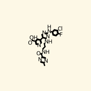 Cc1cnc(C(=O)NCCCNc2nc(Nc3ccc(F)c(Cl)c3)ncc2-c2cncc(C(=O)O)c2)cn1